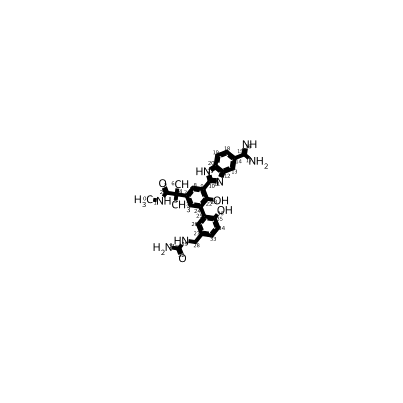 CNC(=O)C(C)(C)c1cc(-c2nc3cc(C(=N)N)ccc3[nH]2)c(O)c(-c2cc(CNC(N)=O)ccc2O)c1